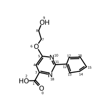 O=C(O)c1cc(OCCO)nc(-c2ccccc2)n1